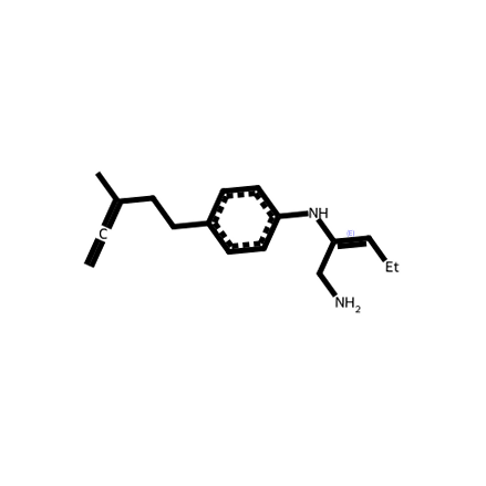 C=C=C(C)CCc1ccc(N/C(=C/CC)CN)cc1